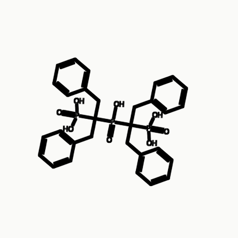 O=P(O)(O)C(Cc1ccccc1)(Cc1ccccc1)P(=O)(O)C(Cc1ccccc1)(Cc1ccccc1)P(=O)(O)O